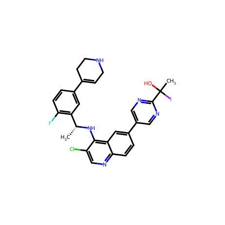 C[C@@H](Nc1c(Cl)cnc2ccc(-c3cnc(C(C)(O)I)nc3)cc12)c1cc(C2=CCNCC2)ccc1F